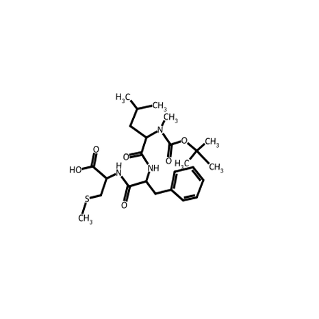 CSCC(NC(=O)C(Cc1ccccc1)NC(=O)C(CC(C)C)N(C)C(=O)OC(C)(C)C)C(=O)O